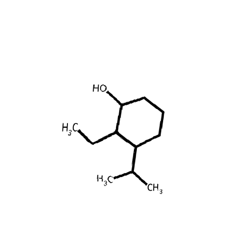 CCC1C(O)CCCC1C(C)C